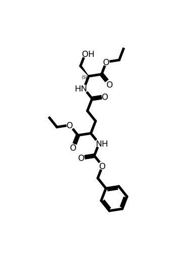 CCOC(=O)C(CCC(=O)N[C@@H](CO)C(=O)OCC)NC(=O)OCc1ccccc1